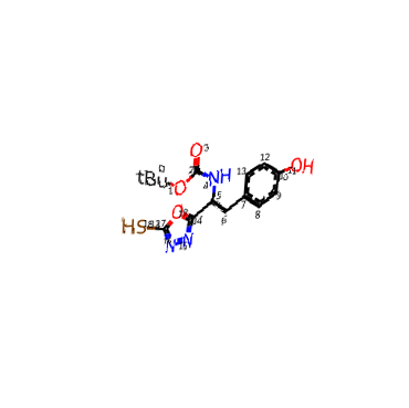 CC(C)(C)OC(=O)NC(Cc1ccc(O)cc1)c1nnc(S)o1